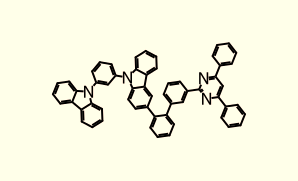 c1ccc(-c2cc(-c3ccccc3)nc(-c3cccc(-c4ccccc4-c4ccc5c(c4)c4ccccc4n5-c4cccc(-n5c6ccccc6c6ccccc65)c4)c3)n2)cc1